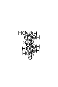 CO[C@H]1O[C@H](CO)[C@@H](O)[C@H](O)[C@H]1OC(=O)[C@@H](O)[C@H](O)[C@@H](O)[C@H](O)C=O